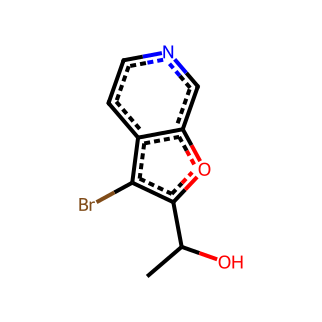 CC(O)c1oc2cnccc2c1Br